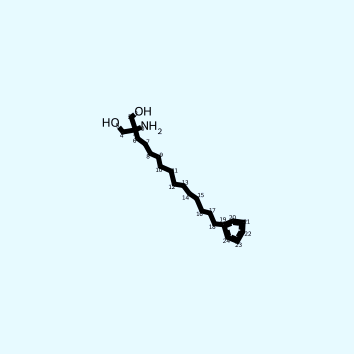 NC(CO)(CO)CCCCCCCCCCCCCc1ccccc1